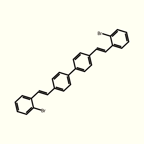 Brc1ccccc1C=Cc1ccc(-c2ccc(C=Cc3ccccc3Br)cc2)cc1